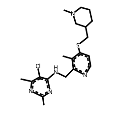 Cc1nc(C)c(Cl)c(NCc2nccc(SCC3CCCN(C)C3)c2C)n1